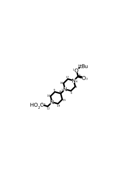 CC(C)(C)OC(=O)N1CCN(C2CCN(CC(=O)O)CC2)CC1